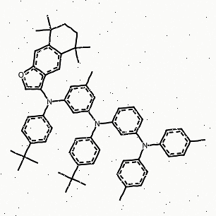 Cc1ccc(N(c2ccc(C)cc2)c2cccc(N(c3ccc(C(C)(C)C)cc3)c3cc(C)cc(N(c4ccc(C(C)(C)C)cc4)c4coc5cc6c(cc45)C(C)(C)CCC6(C)C)c3)c2)cc1